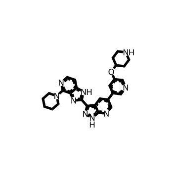 c1cc2[nH]c(-c3n[nH]c4ncc(-c5cncc(OC6CCNCC6)c5)cc34)nc2c(N2CCCCC2)n1